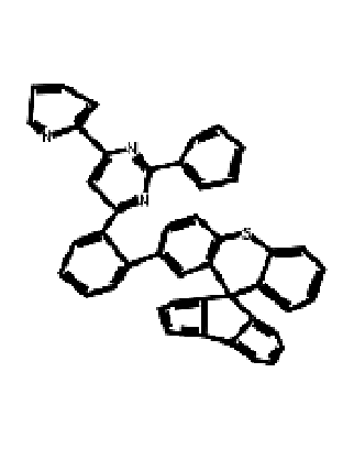 c1ccc(-c2nc(-c3ccccn3)cc(-c3ccccc3-c3ccc4c(c3)C3(c5ccccc5S4)c4ccccc4-c4ccccc43)n2)cc1